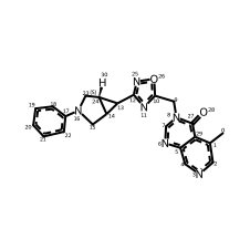 Cc1cncc2ncn(Cc3nc(C4C5CN(c6ccccc6)C[C@@H]54)no3)c(=O)c12